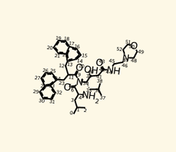 CC(C)C[C@H](N)C(=O)N(C(=O)C(Cc1cccc2ccccc12)Cc1cccc2ccccc12)[C@@H](CC(C)C)[C@@H](O)CC(=O)NCCN1CCOCC1